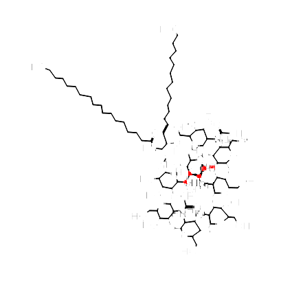 CCCCCCCCCCCCC/C=C/[C@@H](O)[C@H](CO[C@@H]1OC(CO)[C@@H](O[C@@H]2OC(CO)[C@H](O)[C@H](O[C@@H]3OC(CO)[C@@H](O[C@@H]4OC(CO)[C@H](O)[C@H](O[C@@H]5OC(CO)[C@@H](O[C@@H]6OC(CO)[C@H](O)[C@H](O[C@@H]7OC(CO)[C@@H](O)[C@H](O)C7NC(C)=O)C6O)[C@H](O[C@H]6OC(C)[C@@H](O)C(O)[C@@H]6O)C5NC(C)=O)C4O)[C@H](O)C3NC(C)=O)C2O)[C@H](O)C1O)NC(=O)CCCCCCCCCCCCCCCCC